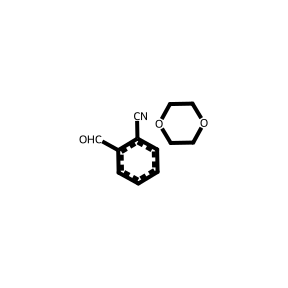 C1COCCO1.N#Cc1ccccc1C=O